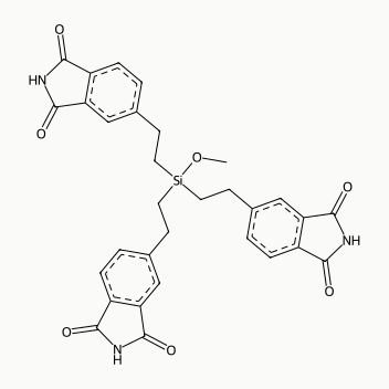 CO[Si](CCc1ccc2c(c1)C(=O)NC2=O)(CCc1ccc2c(c1)C(=O)NC2=O)CCc1ccc2c(c1)C(=O)NC2=O